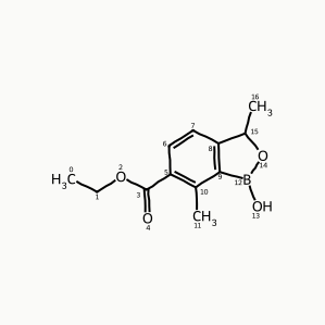 CCOC(=O)c1ccc2c(c1C)B(O)OC2C